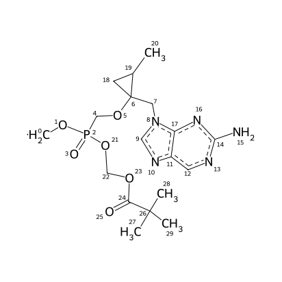 [CH2]OP(=O)(COC1(Cn2cnc3cnc(N)nc32)CC1C)OCOC(=O)C(C)(C)C